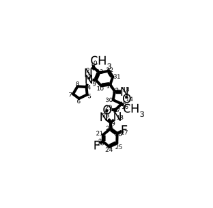 Cc1nn(C2CCCC2)c2cc(C3=NOC(C)(c4nc(-c5cc(F)ccc5F)no4)C3)ccc12